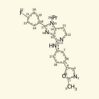 Cc1ncc(-c2ccc(Nc3nccc4c3nc(-c3ccc(F)cc3)n4C(C)C)cc2)o1